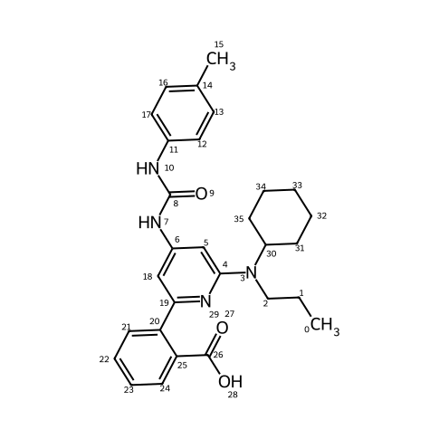 CCCN(c1cc(NC(=O)Nc2ccc(C)cc2)cc(-c2ccccc2C(=O)O)n1)C1CCCCC1